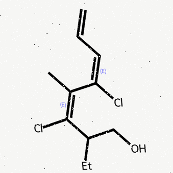 C=C/C=C(Cl)\C(C)=C(\Cl)C(CC)CO